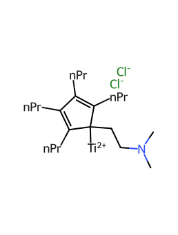 CCCC1=C(CCC)[C]([Ti+2])(CCN(C)C)C(CCC)=C1CCC.[Cl-].[Cl-]